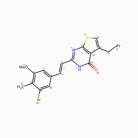 COc1cc(/C=C/c2nc3scc(CC(C)C)c3c(=O)[nH]2)cc(Br)c1C